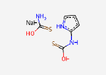 NC(O)=S.OC(=S)Nc1ccc[nH]1.[NaH]